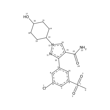 CS(=O)(=O)c1cc(Cl)cc(-c2nn(C3CCC(O)CC3)cc2C(N)=O)c1